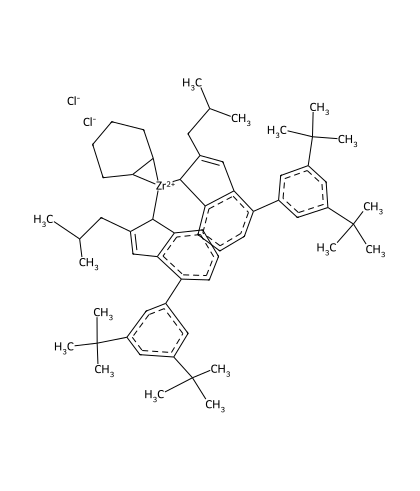 CC(C)CC1=Cc2c(-c3cc(C(C)(C)C)cc(C(C)(C)C)c3)cccc2[CH]1[Zr+2]1([CH]2C(CC(C)C)=Cc3c(-c4cc(C(C)(C)C)cc(C(C)(C)C)c4)cccc32)[CH]2CCCC[CH]21.[Cl-].[Cl-]